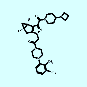 Cc1cccc(N2CCN(C(=O)Cn3nc(C(=O)N4CCC(N5CCC5)CC4)c4c3C[C@H]3C[C@@H]43)CC2)c1C